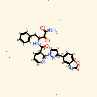 NC(=O)C(=O)C(Cc1ccccc1)NC(=O)c1cccnc1-n1ccc(-c2ccc3ocnc3c2)n1